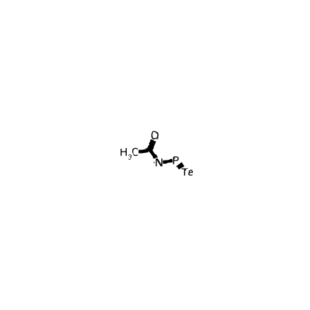 CC(=O)[N]P=[Te]